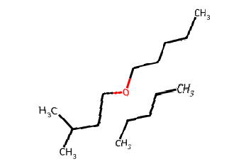 CCCCC.CCCCCOCCC(C)C